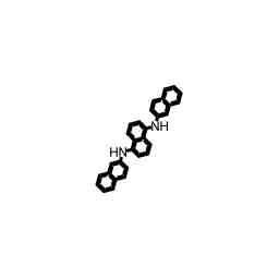 c1ccc2cc(Nc3cccc4c(Nc5ccc6ccccc6c5)cccc34)ccc2c1